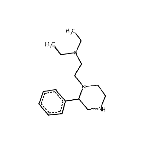 CCN(CC)CCN1CCNCC1c1ccccc1